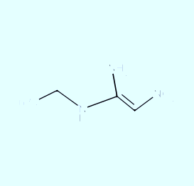 CCCCCN/C(N)=C/[N+](=O)[O-]